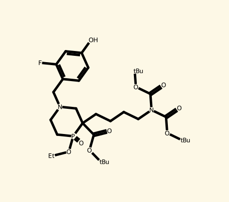 CCOP1(=O)CCN(Cc2ccc(O)cc2F)CC1(CCCCN(C(=O)OC(C)(C)C)C(=O)OC(C)(C)C)C(=O)OC(C)(C)C